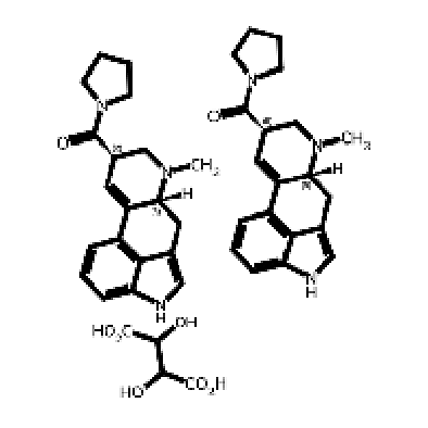 CN1C[C@H](C(=O)N2CCCC2)C=C2c3cccc4[nH]cc(c34)C[C@H]21.CN1C[C@H](C(=O)N2CCCC2)C=C2c3cccc4[nH]cc(c34)C[C@H]21.O=C(O)C(O)C(O)C(=O)O